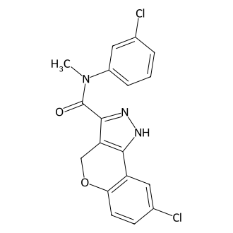 CN(C(=O)c1n[nH]c2c1COc1ccc(Cl)cc1-2)c1cccc(Cl)c1